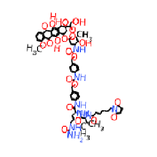 COc1cccc2c1C(=O)c1c(O)c3c(c(O)c1C2=O)C[C@@](O)(C(=O)CO)C[C@@H]3OC1C[C@@H](NC(=O)OCc2ccc(NC(=O)OCc3ccc(NC(=O)[C@H](CCCNC(N)=O)NC(=O)[C@@H](NC(=O)CCCCCN4C(=O)C=CC4=O)C(C)C)cc3)cc2)[C@H](O)[C@@H](C)O1